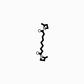 CC1CCN1C(=O)CCCCCCCC(=O)N1CCC1C